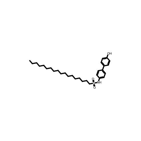 CCCCCCCCCCCCCCCCCCS(=O)(=O)Nc1ccc(-c2ccc(O)cc2)cc1